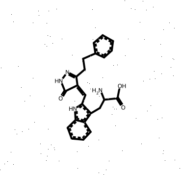 NC(Cc1c(C=C2C(=O)NN=C2CCc2ccccc2)[nH]c2ccccc12)C(=O)O